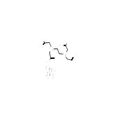 O.O=C([O-])CN(CCN(CC(=O)[O-])CC(=O)[O-])CC(=O)[O-].[Mg+2].[Na+].[Na+]